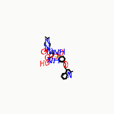 Cc1cc(COc2ccc(S(=O)(=O)NC3(CC(=O)NO)CN(C(=O)N4CCN(C(C)C)CC4)C3)cc2)c2ccccc2n1